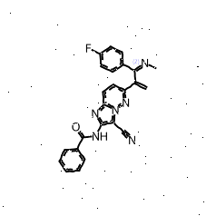 C=C(/C(=N\C)c1ccc(F)cc1)c1ccc2nc(NC(=O)c3ccccc3)c(C#N)n2n1